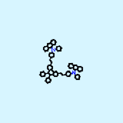 C(=C\c1ccc2c(-c3ccccc3)c(-c3ccccc3)c3ccc(/C=C/c4ccc(N(c5ccccc5)c5c6ccccc6cc6ccccc56)cc4)cc3c2c1)/c1ccc(N(c2ccccc2)c2c3ccccc3cc3ccccc23)cc1